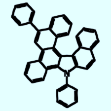 c1ccc(-c2cc3c4ccccc4c4c(c3c3ccccc23)c2c3ccccc3ccc2n4-c2ccccc2)cc1